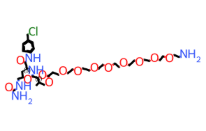 CC(C)[C@H](OC(=O)CCOCCOCCOCCOCCOCCOCCOCCOCCN)C(=O)N[C@@H](CCCNC(N)=O)C(=O)Nc1ccc(CCl)cc1